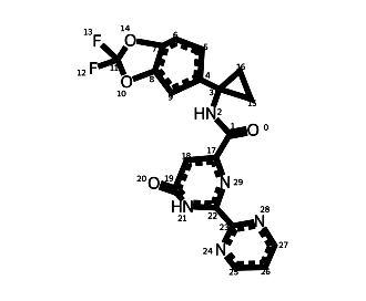 O=C(NC1(c2ccc3c(c2)OC(F)(F)O3)CC1)c1cc(=O)[nH]c(-c2ncccn2)n1